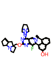 C#Cc1cccc2cc(O)cc(-c3ncc4c(N5CC6CCC(C5)N6)nc(OCC56CCCN5C5CCC=C5C6)nc4c3F)c12